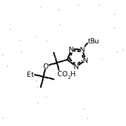 CCC(C)(C)OC(C)(C(=O)O)c1nnn(C(C)(C)C)n1